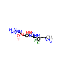 C[C@H](N)CCCc1cc(Cl)c(F)c(-c2cc3c([nH]2)=NC(O)N(c2ccc(CO[C@H](CO)CCNC(=N)N)cc2)C=3)c1